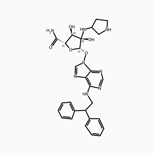 NC(=O)[C@H]1O[C@@H](On2cnc3c(NCC(c4ccccc4)c4ccccc4)ncnc32)[C@@](O)(NC2CCNC2)[C@@H]1O